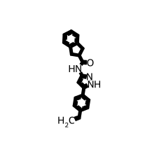 C=Cc1ccc(-c2cc(NC(=O)C3Cc4ccccc4C3)n[nH]2)cc1